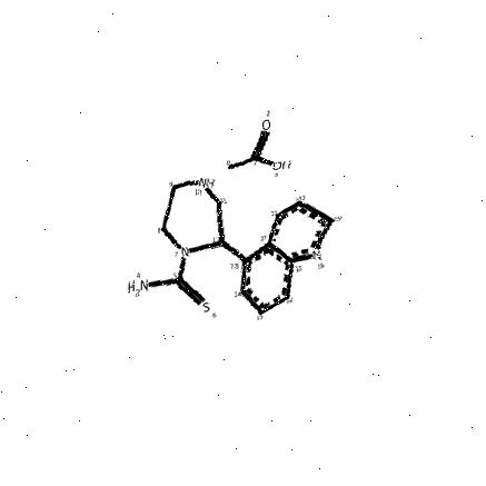 CC(=O)O.NC(=S)N1CCNCC1c1cccc2ncccc12